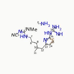 CN.CN/C(=N/C#N)NCCCC(C)Cc1csc(NC(=N)N)n1